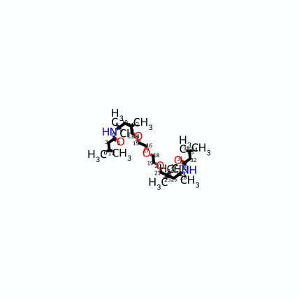 CC(C)CC(=O)NC(C)(C)CC(C)COCCOCCOCC(C)(C)CC(C)(C)NC(=O)CC(C)C